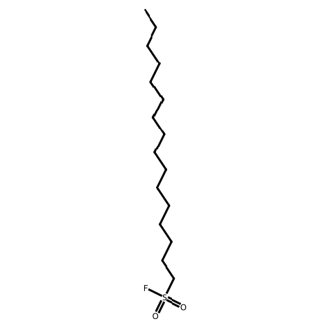 CCCCCCCCCCCCCCCCS(=O)(=O)F